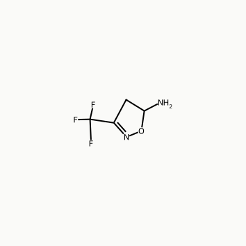 NC1CC(C(F)(F)F)=NO1